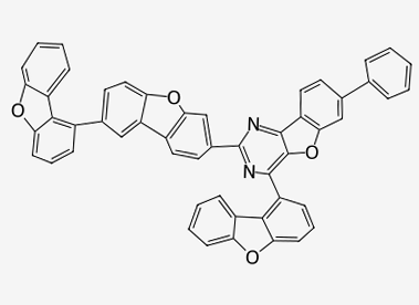 c1ccc(-c2ccc3c(c2)oc2c(-c4cccc5oc6ccccc6c45)nc(-c4ccc5c(c4)oc4ccc(-c6cccc7oc8ccccc8c67)cc45)nc23)cc1